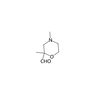 CN1CCOC(C)(C=O)C1